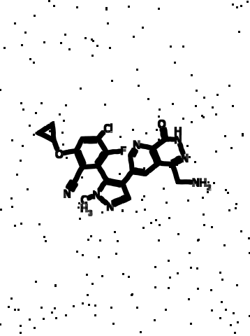 Cn1ncc(-c2cnc3c(=O)[nH]nc(CN)c3c2)c1-c1c(F)c(Cl)cc(OC2CC2)c1C#N